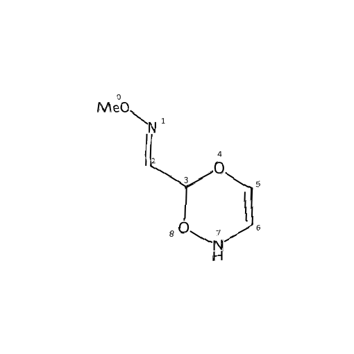 CON=CC1OC=CNO1